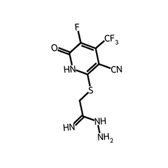 N#Cc1c(SCC(=N)NN)[nH]c(=O)c(F)c1C(F)(F)F